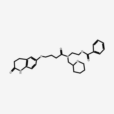 O=C1CCc2cc(OCCCC(=O)N(CCOC(=O)c3ccccc3)CC3CCCCO3)ccc2N1